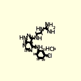 Cl.N=C(N)NCCNc1n[nH]c2ncnc(Nc3cccc(Cl)c3)c12